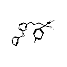 C#CC(C)(CCCc1cccc(Oc2ccccc2)n1)c1ccc(F)cc1